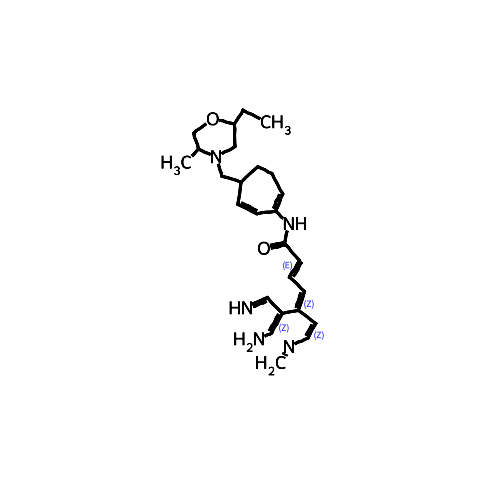 C=N\C=C/C(=C/C=C/C(=O)NC1=CCCC(CN2CC(CC)OCC2C)C=C1)C(/C=N)=C/N